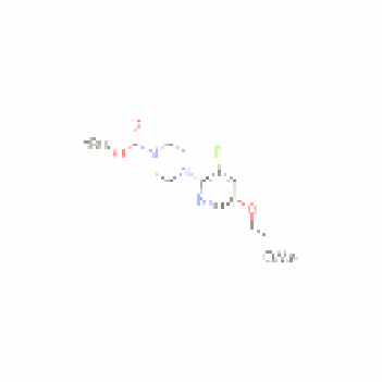 COCCOc1cnc(N2CCN(C(=O)OC(C)(C)C)CC2)c(F)c1